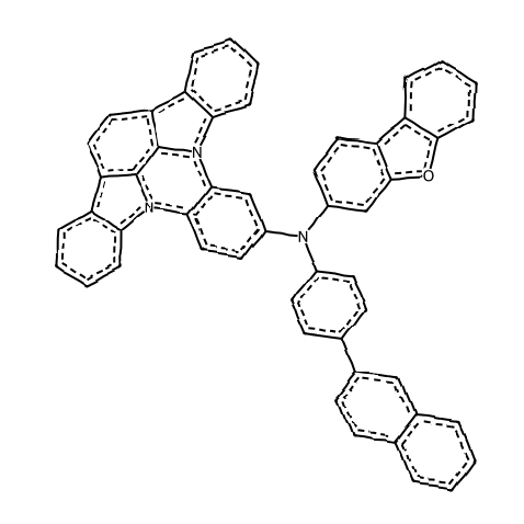 c1ccc2cc(-c3ccc(N(c4ccc5c(c4)oc4ccccc45)c4ccc5c(c4)n4c6ccccc6c6ccc7c8ccccc8n5c7c64)cc3)ccc2c1